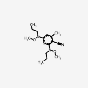 CCCN(OC)c1cc(C)c(C#N)c(N(CCC)OC)n1